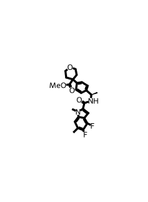 COC(=O)C1(c2ccc([C@@H](C)NC(=O)c3cc4c(F)c(F)c(C)cc4n3C)cc2)CCOCC1